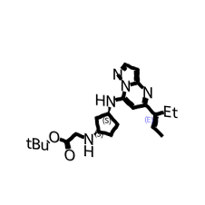 C/C=C(\CC)c1cc(N[C@H]2CC[C@H](NCC(=O)OC(C)(C)C)C2)n2nccc2n1